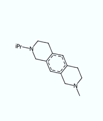 CC(C)N1CCc2cc3c(cc2C1)CN(C)CC3